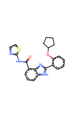 O=C(Nc1nccs1)c1cccc2[nH]c(-c3ccccc3OC3CCCC3)nc12